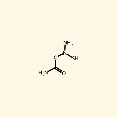 NC(=O)ON(N)S